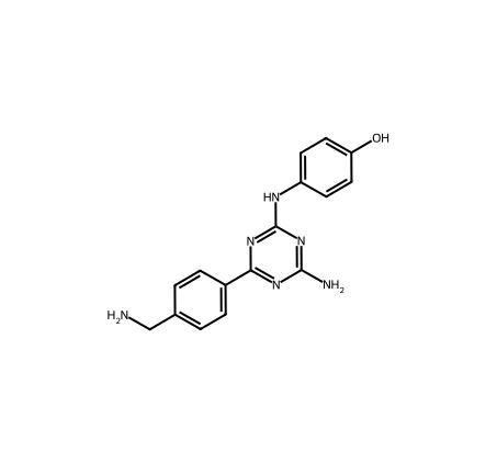 NCc1ccc(-c2nc(N)nc(Nc3ccc(O)cc3)n2)cc1